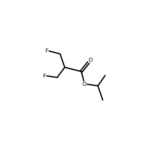 CC(C)OC(=O)C(CF)CF